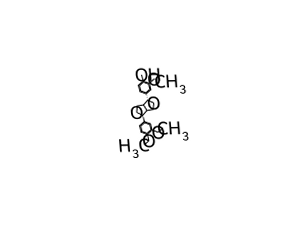 COc1cc([C@@H]2OCC3C2CO[C@@H]3c2ccc(OC)c(OC)c2)ccc1O